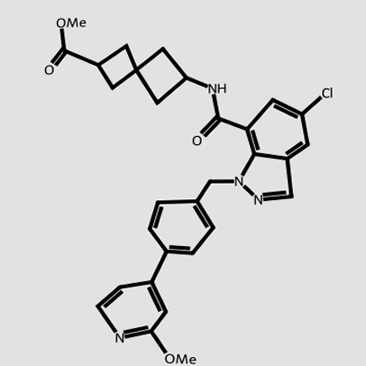 COC(=O)C1CC2(CC(NC(=O)c3cc(Cl)cc4cnn(Cc5ccc(-c6ccnc(OC)c6)cc5)c34)C2)C1